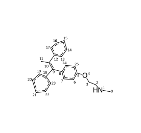 CNCCOc1ccc(/C(=C(/C)c2ccccc2)c2ccccc2)cc1